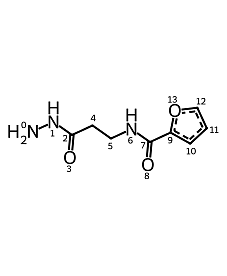 NNC(=O)CCNC(=O)c1ccco1